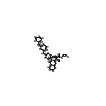 CCNS(=O)(=O)c1cc2ccccc2cc1C1(O)CCN(Cc2cccc(Oc3ccccc3)c2)CC1